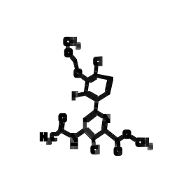 COCOc1c(Cl)ccc(-c2cc(NC(C)=O)c(Cl)c(C(=O)OC)n2)c1F